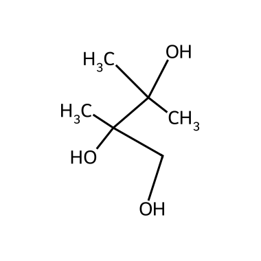 CC(C)(O)C(C)(O)CO